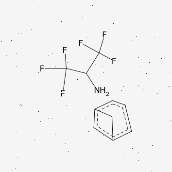 NC(C(F)(F)F)C(F)(F)F.c1cc2cc(c1)C2